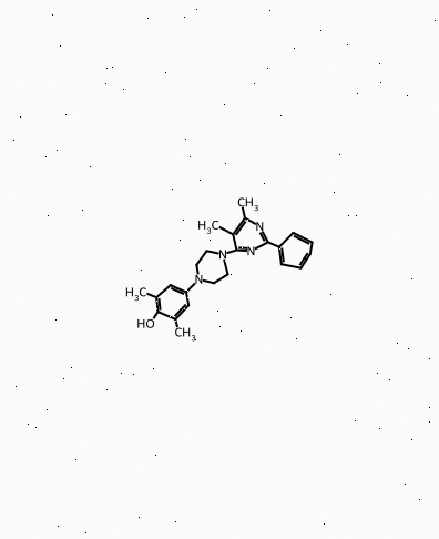 Cc1cc(N2CCN(c3nc(-c4ccccc4)nc(C)c3C)CC2)cc(C)c1O